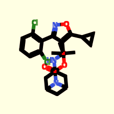 CC(C)(C)OC(=O)N1C2CC(NCc3c(-c4c(Cl)cccc4Cl)noc3C3CC3)CC1C2